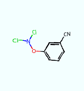 N#Cc1cccc(ON(Cl)Cl)c1